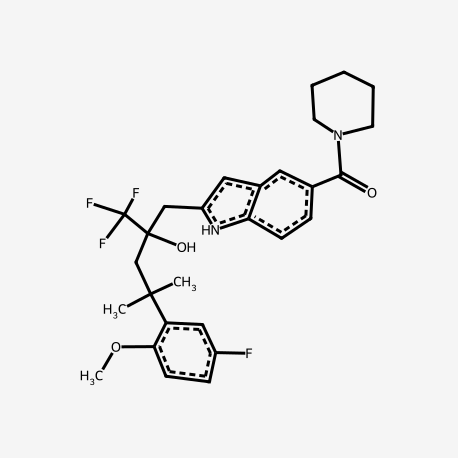 COc1ccc(F)cc1C(C)(C)CC(O)(Cc1cc2cc(C(=O)N3CCCCC3)ccc2[nH]1)C(F)(F)F